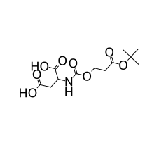 CC(C)(C)OC(=O)CCOC(=O)NC(CC(=O)O)C(=O)O